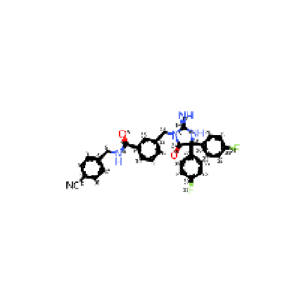 N#Cc1ccc(CNC(=O)c2cccc(CN3C(=N)NC(c4ccc(F)cc4)(c4ccc(F)cc4)C3=O)c2)cc1